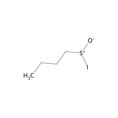 CCCC[S+]([O-])I